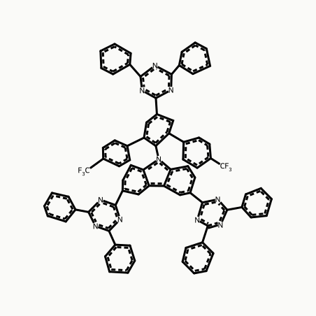 FC(F)(F)c1ccc(-c2cc(-c3nc(-c4ccccc4)nc(-c4ccccc4)n3)cc(-c3ccc(C(F)(F)F)cc3)c2-n2c3ccc(-c4nc(-c5ccccc5)nc(-c5ccccc5)n4)cc3c3cc(-c4nc(-c5ccccc5)nc(-c5ccccc5)n4)ccc32)cc1